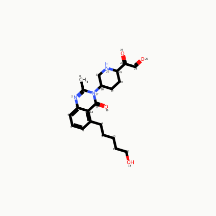 Cc1nc2cccc(CCCCCO)c2c(=O)n1C1CCC(C(=O)C=O)NC1